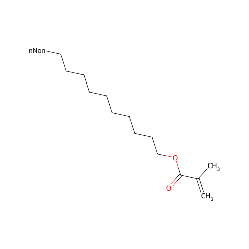 C=C(C)C(=O)OCCCCCCCCCCCCCCCCCCC